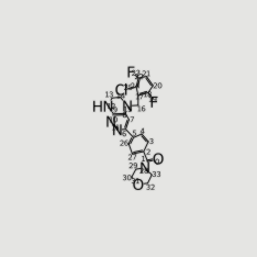 O=C(c1ccc(-c2cc3c(nn2)NCCN3Cc2c(F)ccc(F)c2Cl)cc1)N1CCOCC1